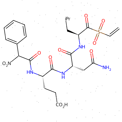 C=CS(=O)(=O)C(=O)[C@H](CC(C)C)NC(=O)[C@H](CC(N)=O)NC(=O)[C@H](CCC(=O)O)NC(=O)C(c1ccccc1)[N+](=O)[O-]